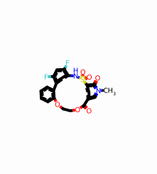 Cn1cc2cc(c1=O)S(=O)(=O)Nc1cc(c(F)cc1F)-c1ccccc1OCCOC2=O